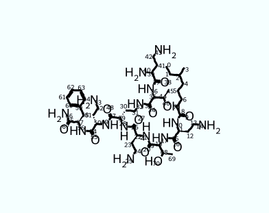 CCC(C)CCCCC(=O)N[C@@H](CCN)C(=O)N[C@H](C(=O)N[C@@H](CCN)C(=O)N[C@@H](CCNC(=O)[C@@H](NC(=O)[C@@H](N)CCN)[C@@H](C)O)C(=O)N[C@@H](CCN)C(=O)N[C@H](Cc1ccccc1)C(N)=O)[C@@H](C)O